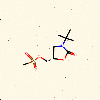 CC(C)(C)N1C[C@@H](COS(C)(=O)=O)OC1=O